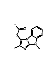 CCC(=O)Sc1c(C)nc2n(C)c3ccccc3n12